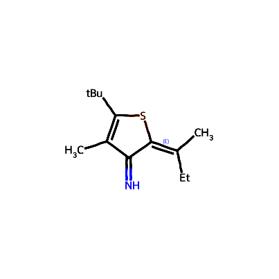 CC/C(C)=C1/SC(C(C)(C)C)=C(C)C1=N